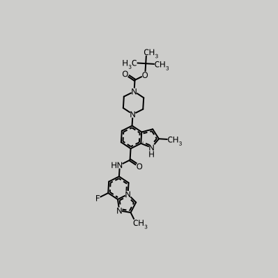 Cc1cn2cc(NC(=O)c3ccc(N4CCN(C(=O)OC(C)(C)C)CC4)c4cc(C)[nH]c34)cc(F)c2n1